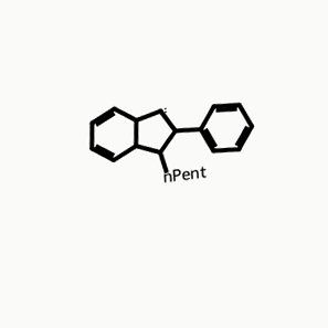 CCCCCC1C(c2ccccc2)[C]C2C=CC=CC21